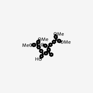 COc1ccc(N(c2ccc(OC)cc2)c2ccc(C3=CCC(N(c4ccc(O)cc4)c4ccc5c(c4)c4cc(N(c6ccc(O)cc6)c6ccc(-c7ccc(N(c8ccc(OC)cc8)c8ccc(OC)cc8)cc7)cc6)ccc4n5-c4ccccc4)C=C3)cc2)cc1